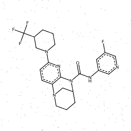 O=C(Nc1cncc(F)c1)N1c2nc(N3CCCC(C(F)(F)F)C3)ccc2N2CCCC1C2